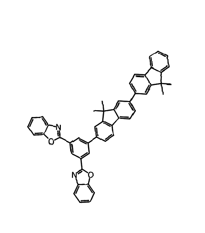 CC1(C)c2ccccc2-c2ccc(-c3ccc4c(c3)C(C)(C)c3cc(-c5cc(-c6nc7ccccc7o6)cc(-c6nc7ccccc7o6)c5)ccc3-4)cc21